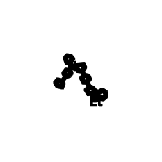 CCn1c2ccccc2c2cc(-c3ccc(-c4cccc(N(c5ccccc5)c5ccc(-c6ccccc6)cc5)c4)cc3)ccc21